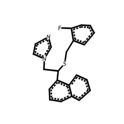 Fc1ccccc1CSC(Cn1ccnc1)c1cccc2ccccc12